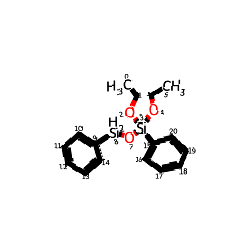 CCO[Si](OCC)(O[SiH2]c1ccccc1)c1ccccc1